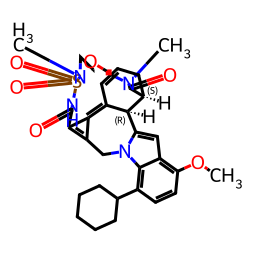 COc1ccc(C2CCCCC2)c2c1cc1n2CC2=C3C(=O)NS(=O)(=O)N(C)CCOCCN(C)C(=O)[C@H]4CC=CC(=C23)[C@H]14